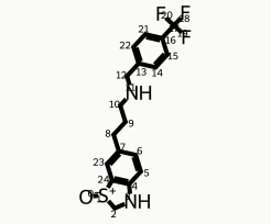 [O-][S+]1CNc2ccc(CCCNCc3ccc(C(F)(F)F)cc3)cc21